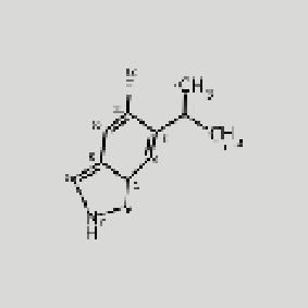 CC(C)C1=CC2CNC=C2C=C1F